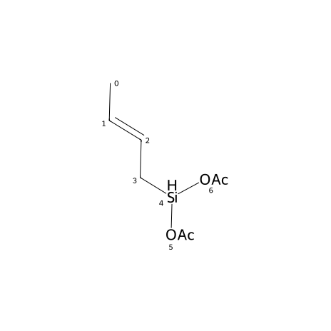 CC=CC[SiH](OC(C)=O)OC(C)=O